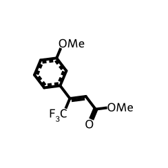 COC(=O)C=C(c1cccc(OC)c1)C(F)(F)F